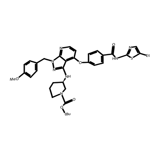 CCc1cnc(NC(=O)c2ccc(Oc3ccnc4c3c(N[C@@H]3CCCN(C(=O)OC(C)(C)C)C3)nn4Cc3ccc(OC)cc3)cc2)s1